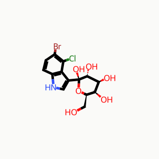 OC[C@H]1O[C@](O)(c2c[nH]c3ccc(Br)c(Cl)c23)[C@H](O)[C@@H](O)[C@H]1O